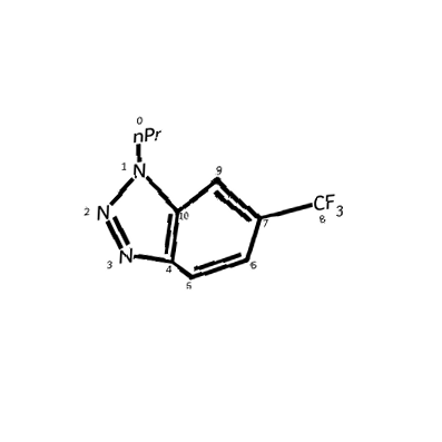 CCCn1nnc2ccc(C(F)(F)F)cc21